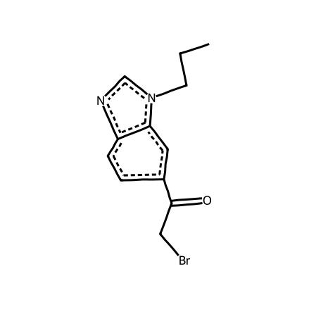 CCCn1cnc2ccc(C(=O)CBr)cc21